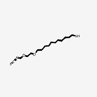 S=C=NCOCCOCCCCCCCCCCCS